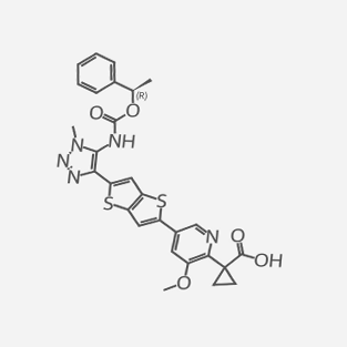 COc1cc(-c2cc3sc(-c4nnn(C)c4NC(=O)O[C@H](C)c4ccccc4)cc3s2)cnc1C1(C(=O)O)CC1